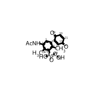 CC(=O)Nc1ccc(C)c([As](=O)(O)OO)c1C.O=C1C=CC(=O)C=C1